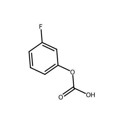 O=C(O)Oc1cccc(F)c1